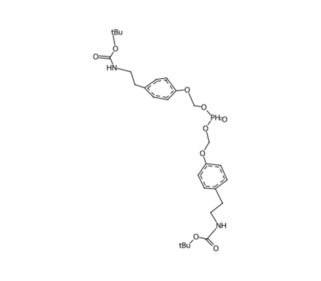 CC(C)(C)OC(=O)NCCc1ccc(OCO[PH](=O)OCOc2ccc(CCNC(=O)OC(C)(C)C)cc2)cc1